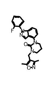 Cc1noc(C)c1CN1CCCN(c2cccc3c2cnn3-c2ccccc2F)C1=O